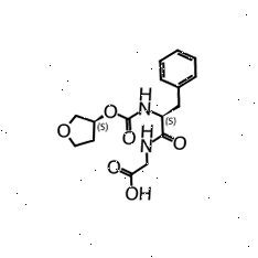 O=C(O)CNC(=O)[C@H](Cc1ccccc1)NC(=O)O[C@H]1CCOC1